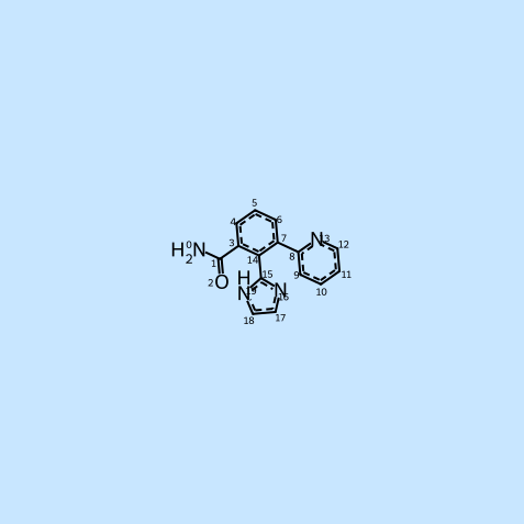 NC(=O)c1cccc(-c2ccccn2)c1-c1ncc[nH]1